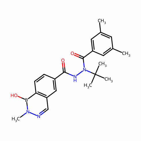 Cc1cc(C)cc(C(=O)N(NC(=O)c2ccc3c(c2)C=NN(C)B3O)C(C)(C)C)c1